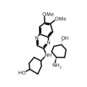 COc1cc2ncc(NC3CCC(O)CC3)nc2cc1OC.N[C@H]1CC[C@H](O)CC1